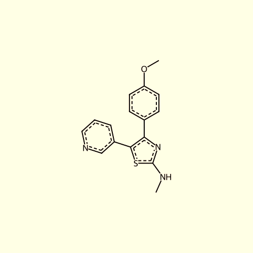 CNc1nc(-c2ccc(OC)cc2)c(-c2cccnc2)s1